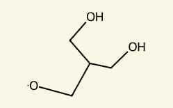 [O]CC(CO)CO